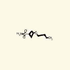 CCCCO[C@H]1C[C@H](S(N)(=O)=O)C1